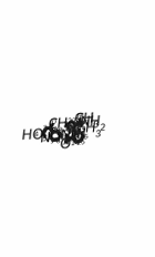 Cc1cc(O)nc2ccc(NC(=O)c3cccnc3N3CCCC3C(C)(C)N)cc12